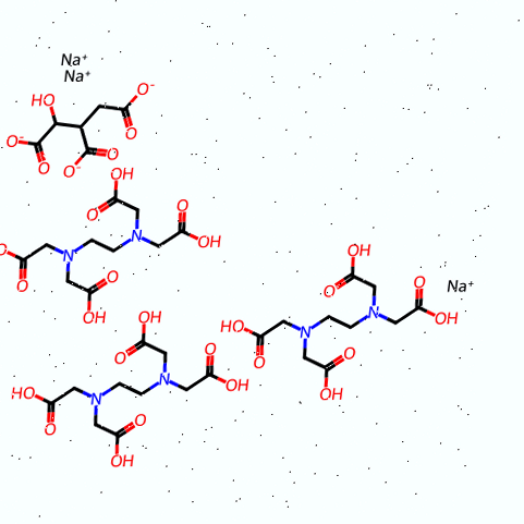 O=C(O)CN(CCN(CC(=O)O)CC(=O)O)CC(=O)O.O=C(O)CN(CCN(CC(=O)O)CC(=O)O)CC(=O)O.O=C(O)CN(CCN(CC(=O)O)CC(=O)O)CC(=O)O.O=C([O-])CC(C(=O)[O-])C(O)C(=O)[O-].[Na+].[Na+].[Na+]